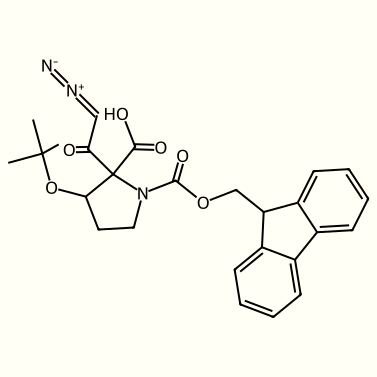 CC(C)(C)OC1CCN(C(=O)OCC2c3ccccc3-c3ccccc32)C1(C(=O)O)C(=O)C=[N+]=[N-]